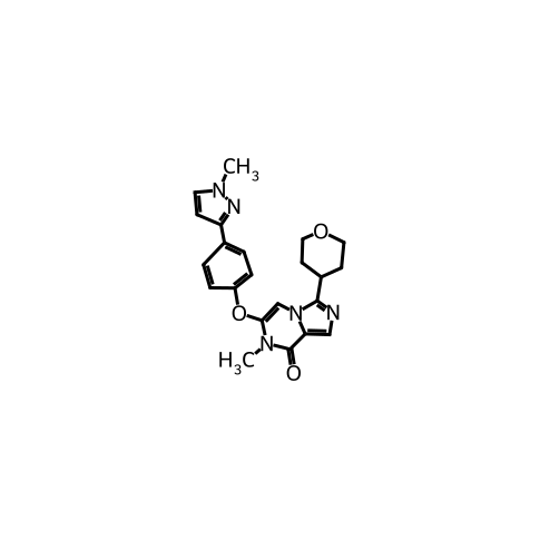 Cn1ccc(-c2ccc(Oc3cn4c(C5CCOCC5)ncc4c(=O)n3C)cc2)n1